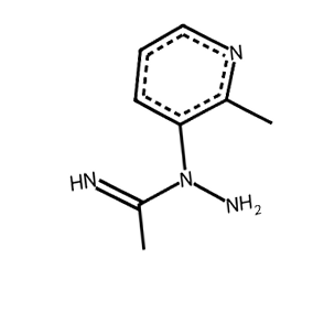 CC(=N)N(N)c1cccnc1C